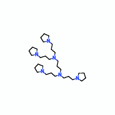 C1CCN(CCCN(CCCN2CCCC2)CCCN(CCCN2CCCC2)CCCN2CCCC2)C1